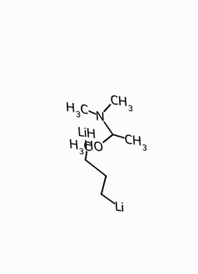 CC(O)N(C)C.[LiH].[Li][CH2]CCC